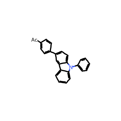 CC(=O)c1ccc(-c2ccc3c(c2)c2ccccc2n3-c2ccccc2)cc1